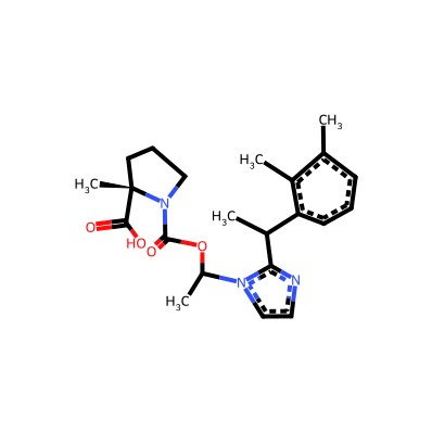 Cc1cccc(C(C)c2nccn2C(C)OC(=O)N2CCC[C@@]2(C)C(=O)O)c1C